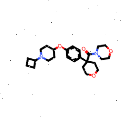 O=C(N1CCOCC1)C1(c2ccc(OC3CCN(C4CCC4)CC3)cc2)CCOCC1